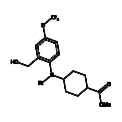 CCN(c1ccc(OC(F)(F)F)cc1CO)C1CCC(C(=O)OC)CC1